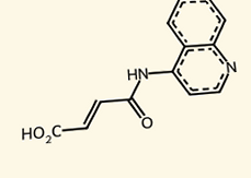 O=C(O)C=CC(=O)Nc1ccnc2ccccc12